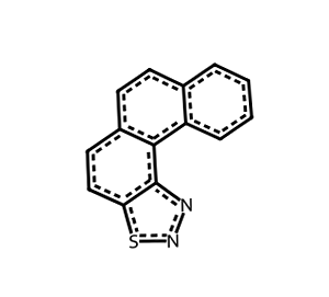 c1ccc2c(c1)ccc1ccc3snnc3c12